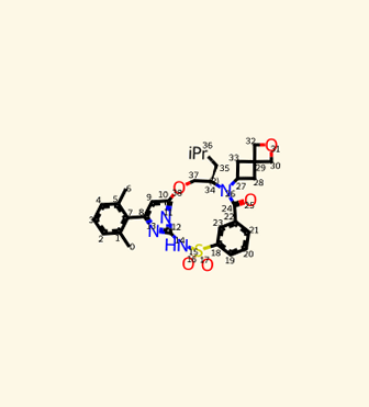 Cc1cccc(C)c1-c1cc2nc(n1)NS(=O)(=O)c1cccc(c1)C(=O)N(C1CC3(COC3)C1)[C@H](CC(C)C)CO2